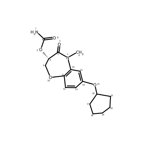 CN1C(=O)[C@@H](OC(N)=O)COc2ccc(OC3CCCCC3)cc21